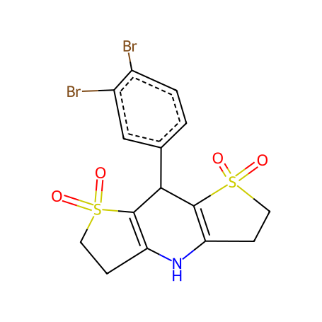 O=S1(=O)CCC2=C1C(c1ccc(Br)c(Br)c1)C1=C(CCS1(=O)=O)N2